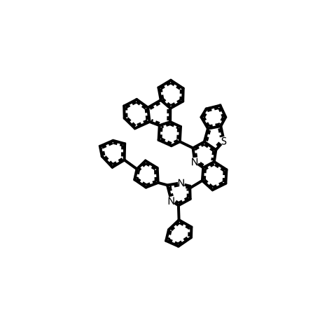 c1ccc(-c2ccc(-c3nc(-c4ccccc4)cc(-c4cccc5c4nc(-c4ccc6c7ccccc7c7ccccc7c6c4)c4c6ccccc6sc54)n3)cc2)cc1